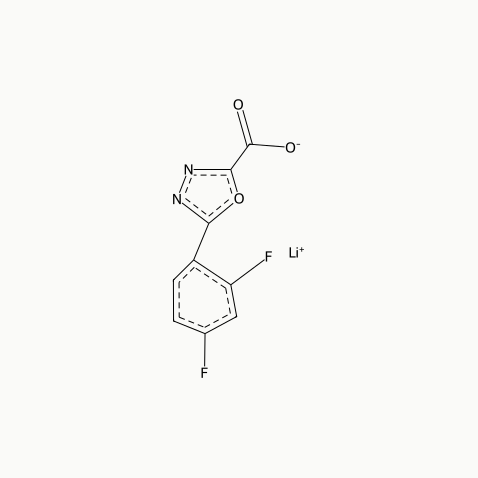 O=C([O-])c1nnc(-c2ccc(F)cc2F)o1.[Li+]